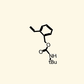 C=Cc1ccccc1COC(=O)NC(C)(C)C